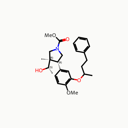 COC(=O)N1C[C@H](c2ccc(OC)c(OC(C)CCc3ccccc3)c2)[C@@](C)([C@H](C)O)C1